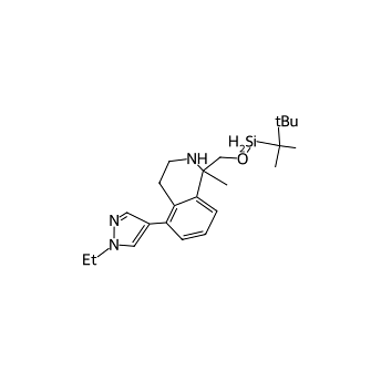 CCn1cc(-c2cccc3c2CCNC3(C)CO[SiH2]C(C)(C)C(C)(C)C)cn1